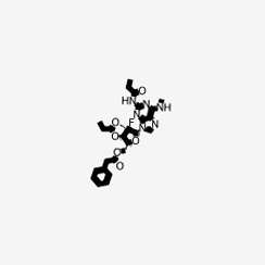 CCC(=O)Nc1nc(NC)c2ncn([C@@H]3O[C@H](COC(=O)Cc4ccccc4)[C@@H](OC(=O)CC)[C@@]3(C)F)c2n1